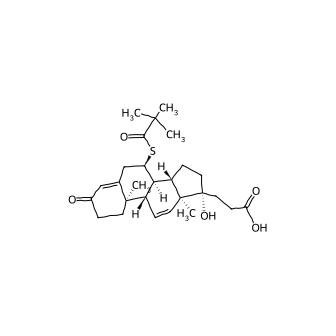 CC(C)(C)C(=O)S[C@@H]1CC2=CC(=O)CC[C@]2(C)[C@H]2C=C[C@@]3(C)[C@@H](CC[C@@]3(O)CCC(=O)O)[C@H]12